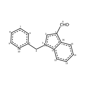 O=[C]c1cn(Cc2ccccn2)c2ccccc12